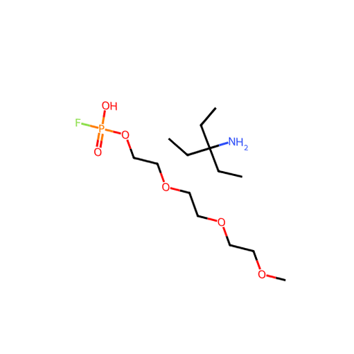 CCC(N)(CC)CC.COCCOCCOCCOP(=O)(O)F